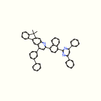 CC1(C)c2ccccc2-c2cc3c(-c4cccc(-c5ccccc5)c4)cc(-c4ccc(-c5nc(-c6ccccc6)cc(-c6ccccc6)n5)c5ccccc45)nc3cc21